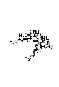 CCCCO[Si](CC[Si](OCCCC)(C(C)C)C(C)C)(C(C)C)C(C)C